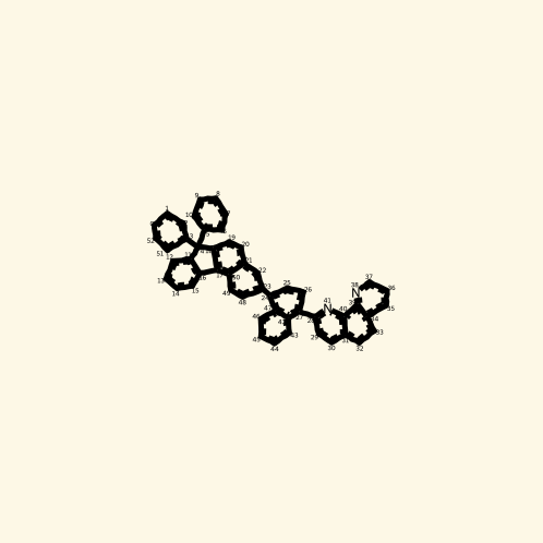 c1ccc(C2(c3ccccc3)c3ccccc3-c3c2ccc2cc(-c4ccc(-c5ccc6ccc7cccnc7c6n5)c5ccccc45)ccc32)cc1